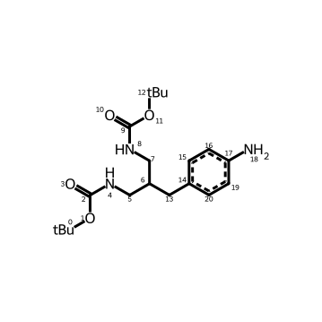 CC(C)(C)OC(=O)NCC(CNC(=O)OC(C)(C)C)Cc1ccc(N)cc1